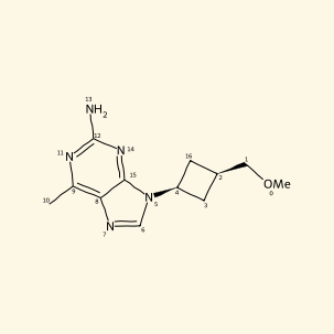 COC[C@H]1C[C@@H](n2cnc3c(C)nc(N)nc32)C1